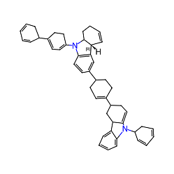 C1=CCC(C2=CC=C(N3c4ccc(C5CC=C(C6CC=C7C(C6)c6ccccc6N7C6C=CC=CC6)CC5)cc4[C@H]4C=CCCC43)CC2)C=C1